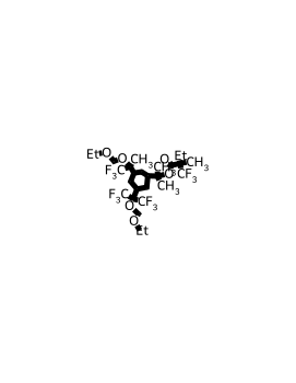 CCOCOC(C)(C1CC(C(C)(C)OC(=O)C(C)(CC)C(F)(F)F)CC(C(OCOCC)(C(F)(F)F)C(F)(F)F)C1)C(F)(F)F